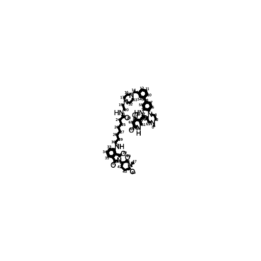 CN1CCN(c2ccc(-c3cccc(CN4CCN(CCNC(=O)CCCCCCCNc5cccc6c5C(=O)N(C5CCC(=O)N(C)C5=O)C6=O)CC4)c3)cc2NC(=O)c2c[nH]c(=O)cc2C(F)(F)F)CC1